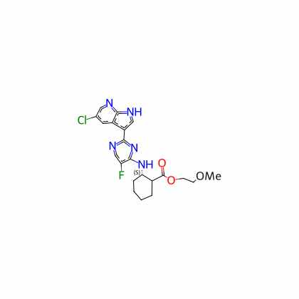 COCCOC(=O)C1CCCC[C@@H]1Nc1nc(-c2c[nH]c3ncc(Cl)cc23)ncc1F